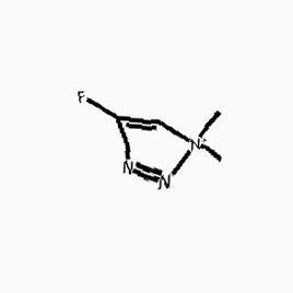 C[N+]1(C)C=C(F)N=N1